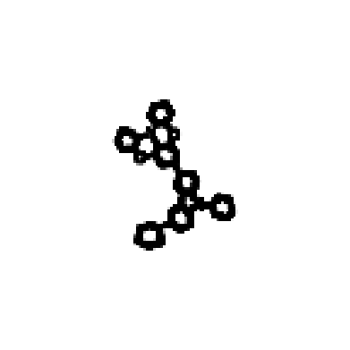 c1ccc(-c2ccc3c(c2)c2cc(-c4cc5c6c(c4)Oc4ccccc4N6c4ccccc4O5)ccc2n3-c2ccccc2)cc1